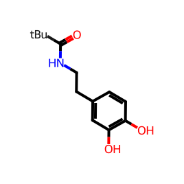 CC(C)(C)C(=O)NCCc1ccc(O)c(O)c1